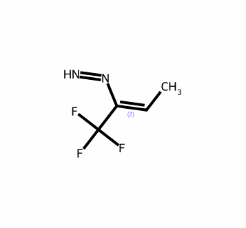 C/C=C(\N=N)C(F)(F)F